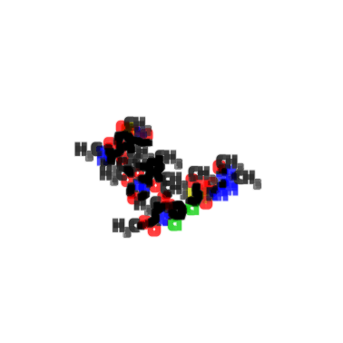 CCOC(=O)C1=NN(c2ccc(Cl)cc2Cl)C(C)(C(=O)OCC)C1.CCc1cc(C)cc(CC)c1-c1c(OC(=O)C(C)(C)C)n2n(c1=O)CCOCC2.COC(=O)c1sccc1S(=O)(=O)NC(=O)Nc1nc(C)nc(OC)n1.Cc1c(C(=O)c2cnn(C)c2O)ccc(S(C)(=O)=O)c1C1=NOCC1